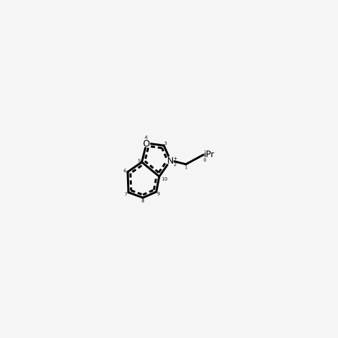 CC(C)C[n+]1coc2ccccc21